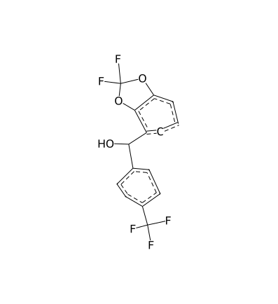 OC(c1ccc(C(F)(F)F)cc1)c1cccc2c1OC(F)(F)O2